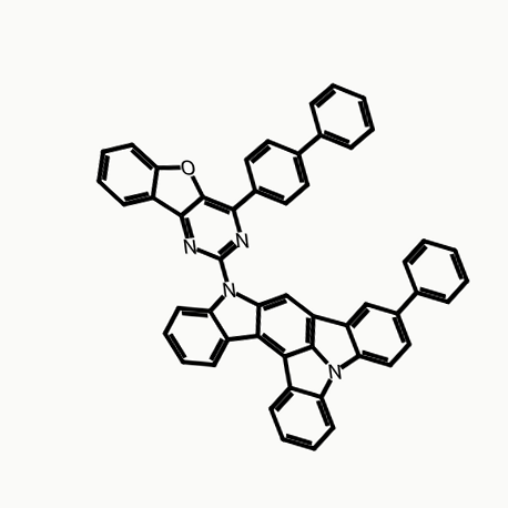 c1ccc(-c2ccc(-c3nc(-n4c5ccccc5c5c6c7ccccc7n7c8ccc(-c9ccccc9)cc8c(cc54)c67)nc4c3oc3ccccc34)cc2)cc1